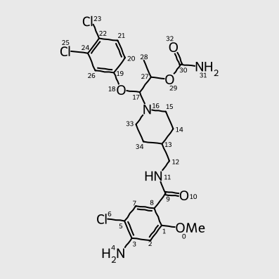 COc1cc(N)c(Cl)cc1C(=O)NCC1CCN(C(Oc2ccc(Cl)c(Cl)c2)C(C)OC(N)=O)CC1